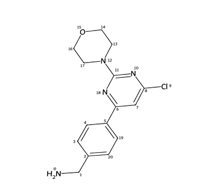 NCc1ccc(-c2cc(Cl)nc(N3CCOCC3)n2)cc1